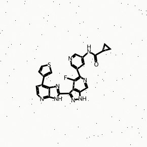 O=C(Nc1cncc(-c2ncc3[nH]nc(-c4nc5c(-c6ccsc6)ccnc5[nH]4)c3c2F)c1)C1CC1